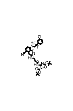 CC(C)(C)OC(=O)N=C(NOCCNC(=O)Cc1c(C#N)ccc(NCC(F)(F)c2cccc(Cl)c2)c1F)NC(=O)OC(C)(C)C